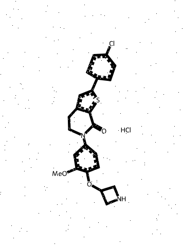 COc1cc(N2CCc3cc(-c4ccc(Cl)cc4)sc3C2=O)ccc1OC1CNC1.Cl